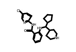 O=C(Nc1ccc(Cl)cn1)c1ccccc1NC(C1CCCC1)C1CCNCC1